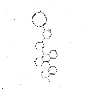 Cc1cccc2c1=CCCC=2c1c2ccccc2c(C2=CC(C3C=CN=C(/C4=C/C=C\C(C)/C=C\C=C/C4)C3)=CCC2)c2ccccc12